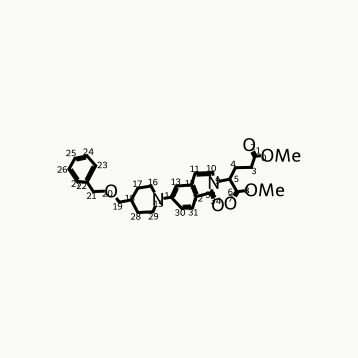 COC(=O)CCC(C(=O)OC)n1ccc2cc(N3CCC(COCc4ccccc4)CC3)ccc2c1=O